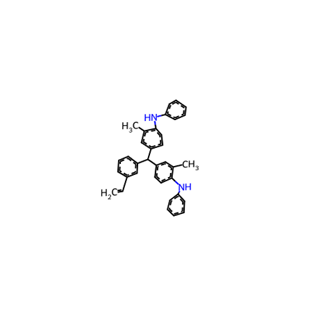 C=Cc1cccc(C(c2ccc(Nc3ccccc3)c(C)c2)c2ccc(Nc3ccccc3)c(C)c2)c1